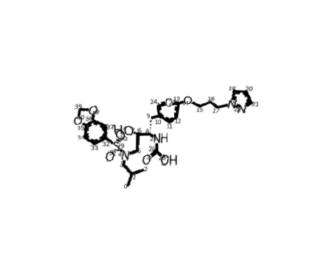 CC(C)CN(C[C@@H](O)[C@H](Cc1ccc(OCCCn2cccn2)cc1)NC(=O)O)S(=O)(=O)c1ccc2c(c1)OCO2